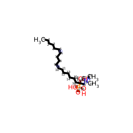 CCCCC/C=C\CC/C=C\CCCCCCC(O)(C[N+](C)(C)C)P(=O)(O)O